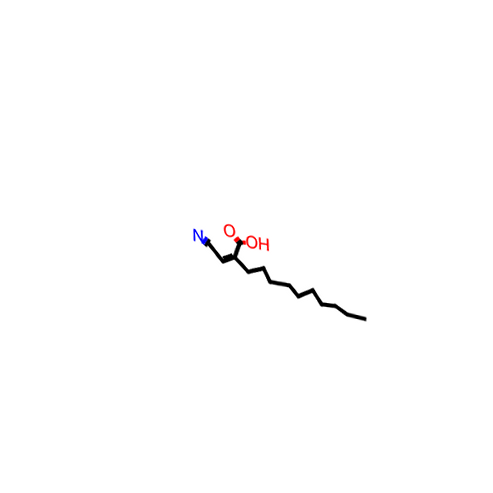 CCCCCCCCCC/C(=C/C#N)C(=O)O